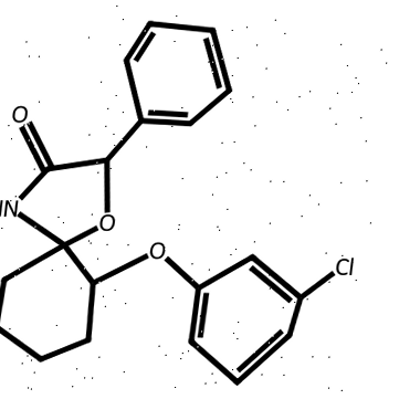 O=C1NC2(CCCCC2Oc2cccc(Cl)c2)OC1c1ccccc1